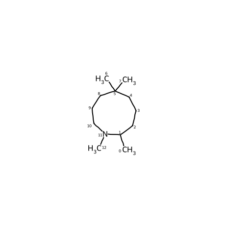 CC1CCCC(C)(C)CCCN1C